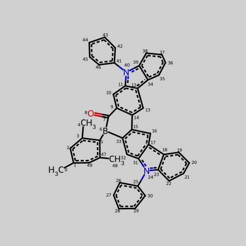 Cc1cc(C)c(B2C(=O)c3cc4c(cc3-c3cc5c6ccccc6n(-c6ccccc6)c5cc32)c2ccccc2n4-c2ccccc2)c(C)c1